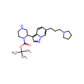 CC(C)(C)OC(=O)N1CCNCC1c1cnn2cc(CCCN3CCCC3)ccc12